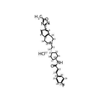 Cc1nc(-c2ccc3c(c2)CCN(CC[C@H]2CC[C@H](NC(=O)C=Cc4ccc(F)cc4)CC2)CC3)no1.Cl